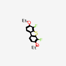 CCOc1ccc2c(sc3c(F)c(OCC)ccc32)c1F